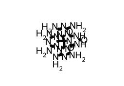 Nc1nc(N)nc(C(c2nc(N)nc(N)n2)(c2nc(N)nc(N)n2)n2c(=O)[nH]c(=O)[nH]c2=O)n1